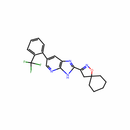 FC(F)(F)c1ccccc1-c1cnc2[nH]c(C3=NOC4(CCCCC4)C3)nc2c1